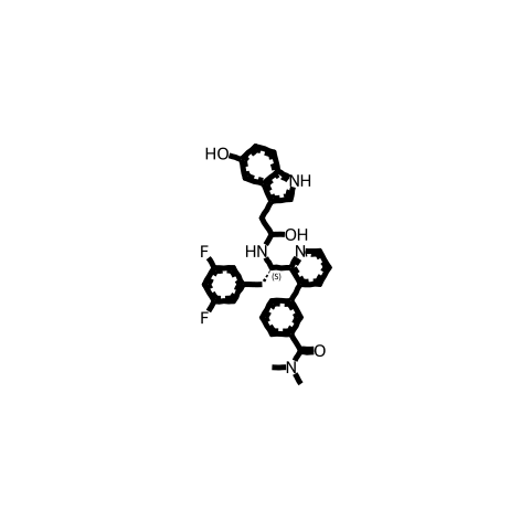 CN(C)C(=O)c1cccc(-c2cccnc2[C@H](Cc2cc(F)cc(F)c2)NC(O)Cc2c[nH]c3ccc(O)cc23)c1